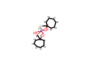 CC1(OP(O)(=S)OC2(C)CCCCCC2)CCCCCC1